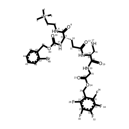 C[N+](C)(C)CCNC(=O)[C@H](CCC(=O)N[C@@H](CS)C(=O)NCC(=O)OCc1c(F)c(F)c(F)c(F)c1F)NC(=O)OCc1ccccc1Br